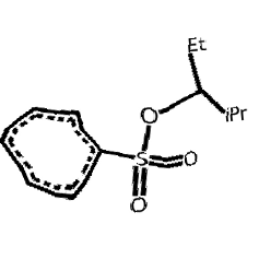 CCC(OS(=O)(=O)c1ccccc1)C(C)C